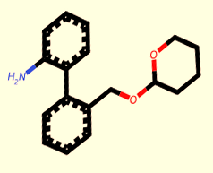 Nc1ccccc1-c1ccccc1COC1CCCCO1